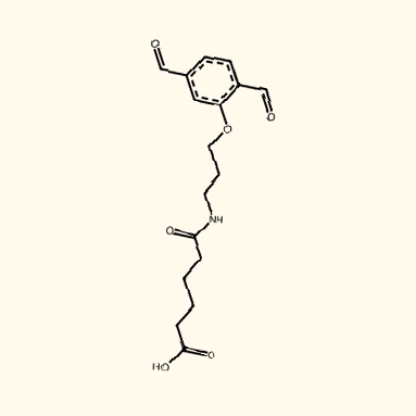 O=Cc1ccc(C=O)c(OCCCNC(=O)CCCCC(=O)O)c1